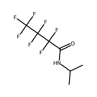 CC(C)NC(=O)C(F)(F)C(F)(F)C(F)(F)F